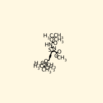 COC(=O)c1nc(NC(=O)OC(C)(C)C)sc1C#CCO[Si](C)(C)C(C)(C)C